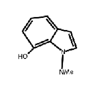 CNn1ccc2cccc(O)c21